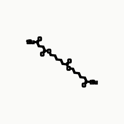 CC(C)(C)C(=O)CCCCCOC(=O)CCCCCOC(=O)CCC(=O)C(C)(C)C